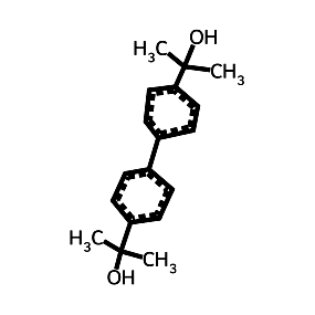 CC(C)(O)c1ccc(-c2ccc(C(C)(C)O)cc2)cc1